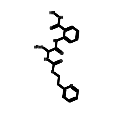 CCCCCC(NC(=O)OCCc1ccccn1)C(=O)Nc1ccccc1C(=O)NO